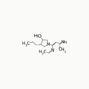 C/C=N\C(=C/C(C)=N)N1CC(O)C(CCC)C1